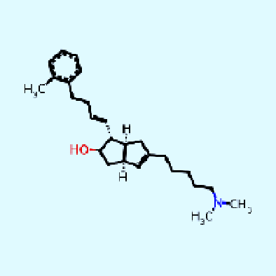 Cc1ccccc1CC/C=C/[C@@H]1[C@H]2CC(CCCCCN(C)C)=C[C@H]2C[C@H]1O